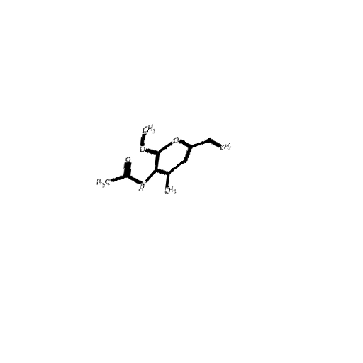 CCC1CC(C)C(NC(C)=O)C(OC)O1